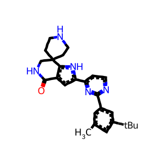 Cc1cc(-c2nccc(-c3cc4c([nH]3)C3(CCNCC3)CNC4=O)n2)cc(C(C)(C)C)c1